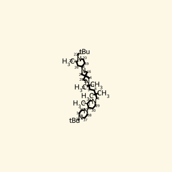 C[C@H]1CN(CC(C)(C)CCC(C)(C)N2CC3(CN(C4CCN(CC(C)(C)C)[C@@H](C)C4)C3)C2)CCC1N1CCN(C(C)(C)C)CC1